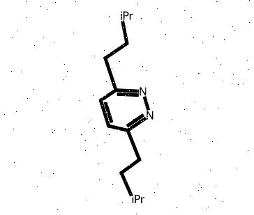 CC(C)CCc1ccc(CCC(C)C)nn1